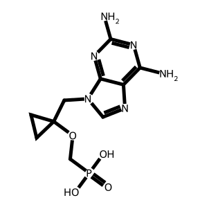 Nc1nc(N)c2ncn(CC3(OCP(=O)(O)O)CC3)c2n1